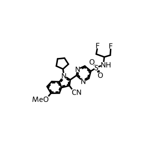 COc1ccc2c(c1)c(C#N)c(-c1ncc(S(=O)(=O)NC(CF)CF)cn1)n2C1CCCC1